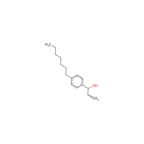 C=CC(O)c1ccc(CCCCCCC)cc1